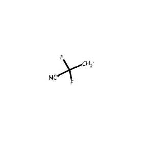 [CH2]C(F)(F)C#N